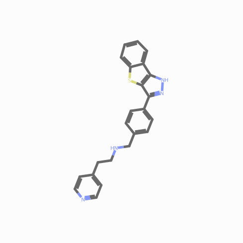 c1ccc2c(c1)sc1c(-c3ccc(CNCCc4ccncc4)cc3)n[nH]c12